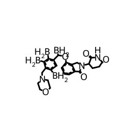 Bc1cc(C(B)Oc2cccc3c2CN(C2CCC(=O)NC2=O)C3=O)c(B)c(B)c1CN1CCOCC1